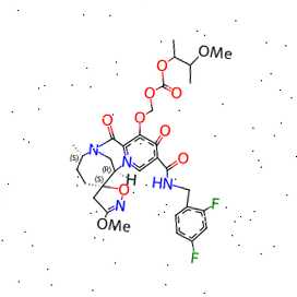 COC1=NO[C@@]2(CC[C@H](C)N3C[C@H]2n2cc(C(=O)NCc4ccc(F)cc4F)c(=O)c(OCOC(=O)OC(C)C(C)OC)c2C3=O)C1